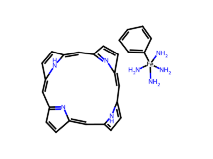 C1=Cc2cc3ccc(cc4nc(cc5ccc(cc1n2)[nH]5)C=C4)[nH]3.[NH2][Fe]([NH2])([NH2])([NH2])[c]1ccccc1